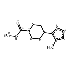 Cc1ccsc1C1CCN(C(=O)OC(C)(C)C)CC1